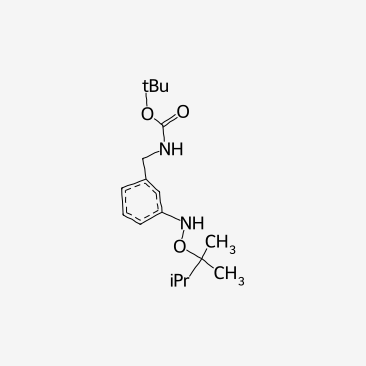 CC(C)C(C)(C)ONc1cccc(CNC(=O)OC(C)(C)C)c1